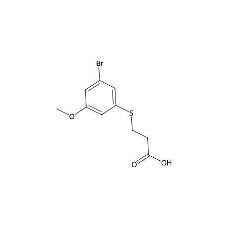 COc1cc(Br)cc(SCCC(=O)O)c1